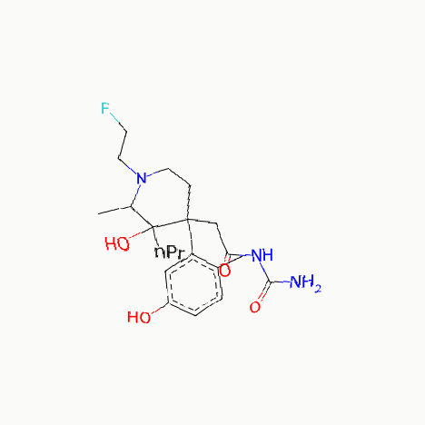 CCCC1(O)C(C)N(CCF)CCC1(CC(=O)NC(N)=O)c1cc(O)ccc1C